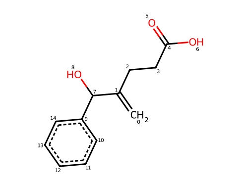 C=C(CCC(=O)O)C(O)c1ccccc1